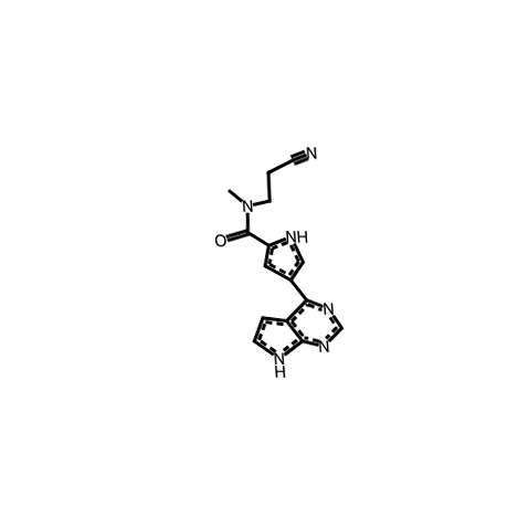 CN(CCC#N)C(=O)c1cc(-c2ncnc3[nH]ccc23)c[nH]1